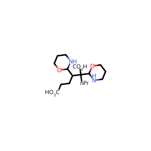 CCCC(C(=O)O)(C1NCCCO1)C(CCC(=O)O)C1NCCCO1